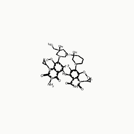 COc1c(N2CCCC(C)(O)C2)c(F)c(Nc2c(F)c(N3CCCC(O)(CO)C3)c(OC)c3c2c(=O)n(N)c(=O)n3C2CC2)c2c(=O)[nH]c(=O)n(C3CC3)c12